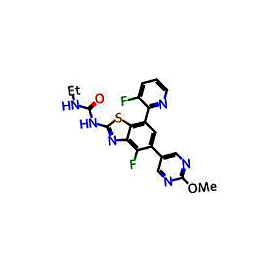 CCNC(=O)Nc1nc2c(F)c(-c3cnc(OC)nc3)cc(-c3ncccc3F)c2s1